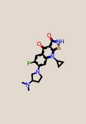 CN(C)C1CCN(c2cc3c(cc2F)c(=O)c2c(=O)[nH]sc2n3C2CC2)C1